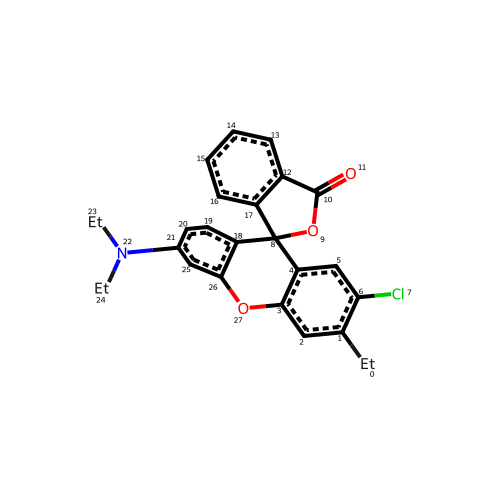 CCc1cc2c(cc1Cl)C1(OC(=O)c3ccccc31)c1ccc(N(CC)CC)cc1O2